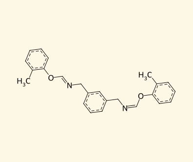 Cc1ccccc1OC=NCc1cccc(C/N=C\Oc2ccccc2C)c1